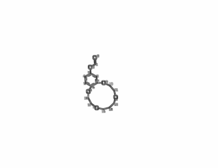 O=COc1ccc2c(c1)OCCOCCCOCCO2